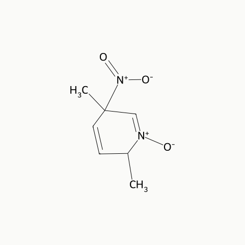 CC1C=CC(C)([N+](=O)[O-])C=[N+]1[O-]